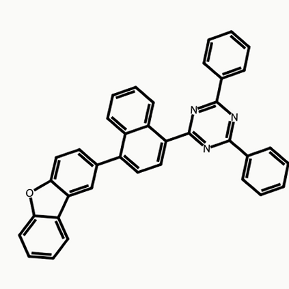 c1ccc(-c2nc(-c3ccccc3)nc(-c3ccc(-c4ccc5oc6ccccc6c5c4)c4ccccc34)n2)cc1